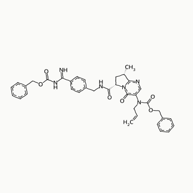 C=CCN(C(=O)OCc1ccccc1)c1cnc2n(c1=O)[C@H](C(=O)NCc1ccc(C(=N)NC(=O)OCc3ccccc3)cc1)C[C@@H]2C